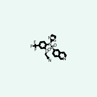 N#CCOc1cc(C(F)(F)F)ccc1N(c1nccs1)S(=O)(=O)c1ccc2cnccc2c1